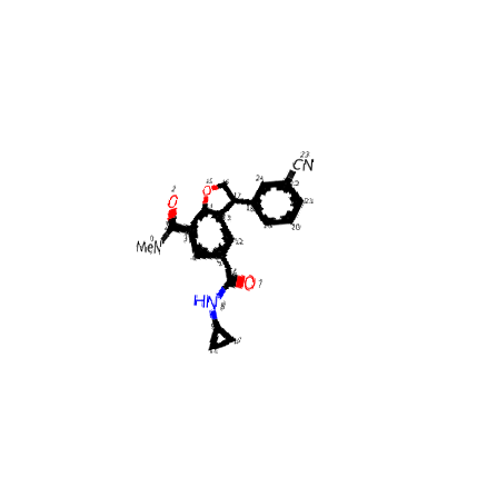 CNC(=O)c1cc(C(=O)NC2CC2)cc2c1OCC2c1cccc(C#N)c1